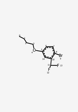 CCCCOc1ccc(Br)c(C(F)F)c1